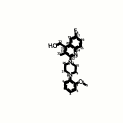 COc1ccccc1N1CCN(c2nc3ccc(F)cc3c(CO)c2C)CC1